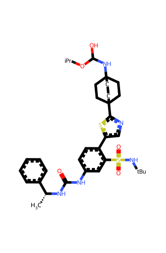 CC(C)OC(O)NC12CCC(c3ncc(-c4ccc(NC(=O)N[C@H](C)c5ccccc5)cc4S(=O)(=O)NC(C)(C)C)s3)(CC1)CC2